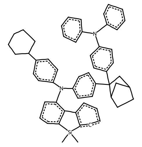 C[Si]1(C)c2ccccc2-c2c(N(c3ccc(C4CCCCC4)cc3)c3ccc(C4(c5ccc(N(c6ccccc6)c6ccccc6)cc5)CC5CCC4C5)cc3)cccc21